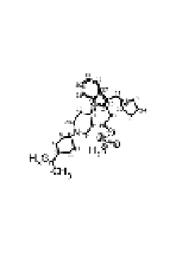 CC(C)[C@H]1CC[C@@H](N2CCC(n3c(CCOS(N)(=O)=O)c(CN4CCCC4)c4ccccc43)CC2)CC1